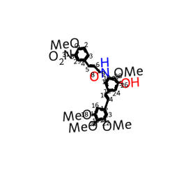 COc1ccc(/C=C/C(=O)Nc2cc(/C=C/c3cc(OC)c(OC)c(OC)c3)cc(O)c2OC)cc1[N+](=O)[O-]